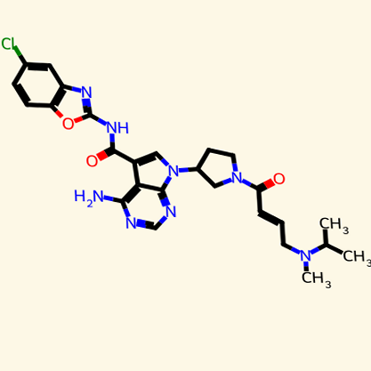 CC(C)N(C)CC=CC(=O)N1CCC(n2cc(C(=O)Nc3nc4cc(Cl)ccc4o3)c3c(N)ncnc32)C1